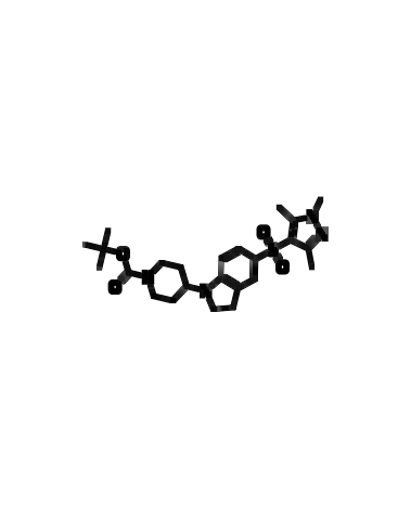 Cc1nn(C)c(C)c1S(=O)(=O)c1ccc2c(c1)CCN2C1CCN(C(=O)OC(C)(C)C)CC1